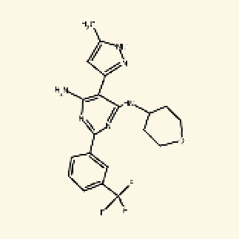 Cc1cc(-c2c(N)nc(-c3cccc(C(F)(F)F)c3)nc2NC2CCOCC2)n[nH]1